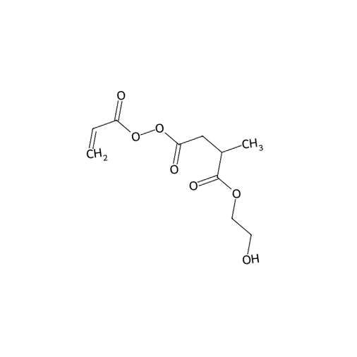 C=CC(=O)OOC(=O)CC(C)C(=O)OCCO